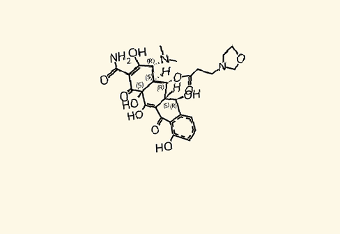 CN(C)[C@H]1C(O)=C(C(N)=O)C(=O)[C@@]2(O)C(O)=C3C(=O)c4c(O)cccc4[C@H](O)[C@H]3[C@@H](OC(=O)CCN3CCOC3)[C@H]12